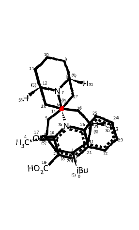 CC[C@H](C)C1C[C@H](C)CC(N2[C@@H]3CCC[C@H]2C[C@@H](n2c(=O)c(C(=O)O)nc4ccccc42)C3)C[C@@H](C)C1